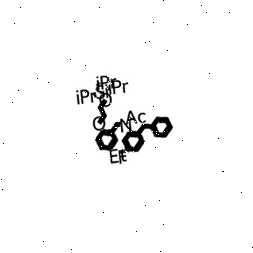 CCc1ccc(OCCO[Si](C(C)C)(C(C)C)C(C)C)c(CN(C(C)=O)c2cc(F)ccc2Cc2ccccc2)c1